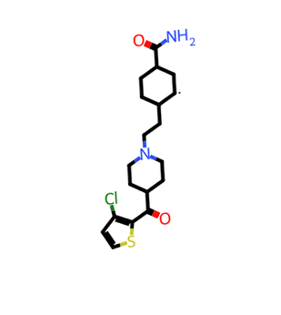 NC(=O)C1C[CH]C(CCN2CCC(C(=O)c3sccc3Cl)CC2)CC1